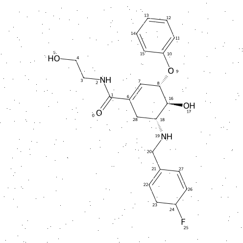 O=C(NCCO)C1=C[C@H](Oc2ccccc2)[C@@H](O)[C@H](NCC2=CCC(F)C=C2)C1